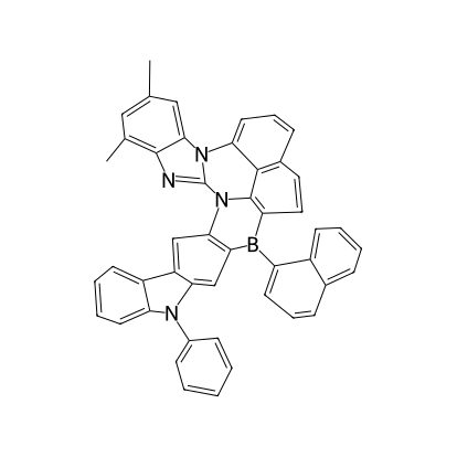 Cc1cc(C)c2nc3n4c5c(ccc6cccc(c65)n3c2c1)B(c1cccc2ccccc12)c1cc2c(cc1-4)c1ccccc1n2-c1ccccc1